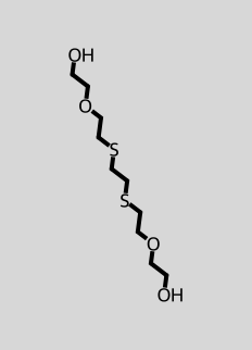 OCCOCCSCCSCCOCCO